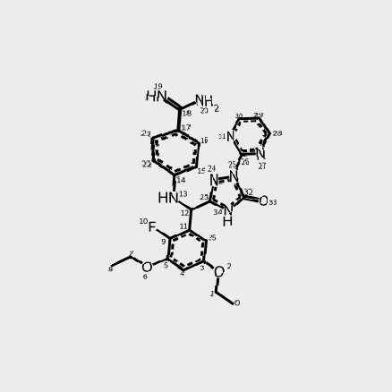 CCOc1cc(OCC)c(F)c(C(Nc2ccc(C(=N)N)cc2)c2nn(-c3ncccn3)c(=O)[nH]2)c1